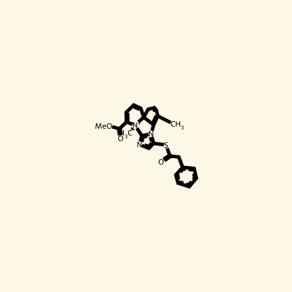 COC(=O)C1=CC=CC23CC=CC(C)=C2n2c(SC(=O)Cc4ccccc4)cnc2[N+]13C